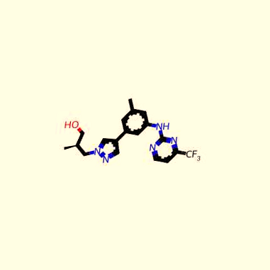 Cc1cc(Nc2nccc(C(F)(F)F)n2)cc(-c2cnn(C[C@@H](C)CO)c2)c1